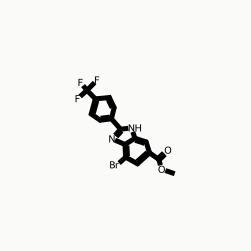 COC(=O)c1cc(Br)c2nc(-c3ccc(C(F)(F)F)cc3)[nH]c2c1